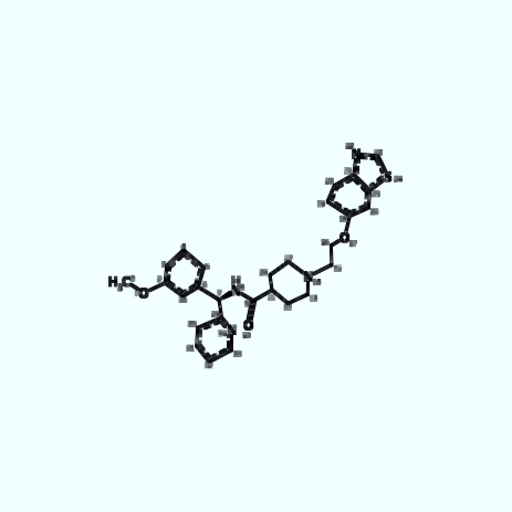 COc1cccc([C@@H](NC(=O)C2CCN(CCOc3ccc4ncsc4c3)CC2)c2ccccn2)c1